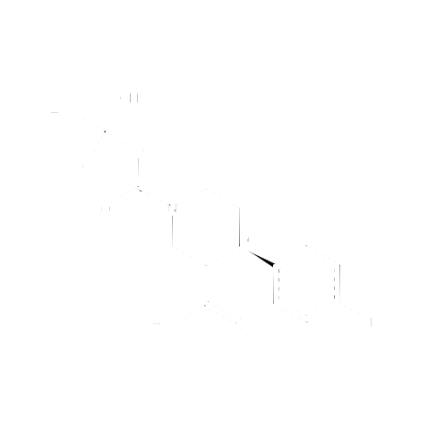 CC(=O)[C@@H]1CN(C(=O)OC(C)(C)C)CC[C@H]1c1ccc(F)cc1